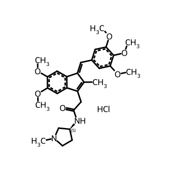 COc1cc2c(cc1OC)C(CC(=O)N[C@H]1CCN(C)C1)=C(C)C2=Cc1cc(OC)c(OC)c(OC)c1.Cl